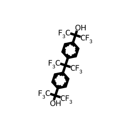 OC(c1ccc(C(c2ccc(C(O)(C(F)(F)F)C(F)(F)F)cc2)(C(F)(F)F)C(F)(F)F)cc1)(C(F)(F)F)C(F)(F)F